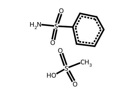 CS(=O)(=O)O.NS(=O)(=O)c1ccccc1